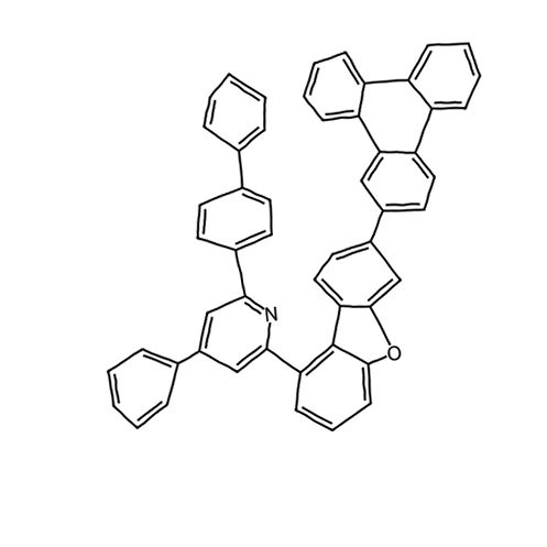 c1ccc(-c2ccc(-c3cc(-c4ccccc4)cc(-c4cccc5oc6cc(-c7ccc8c9ccccc9c9ccccc9c8c7)ccc6c45)n3)cc2)cc1